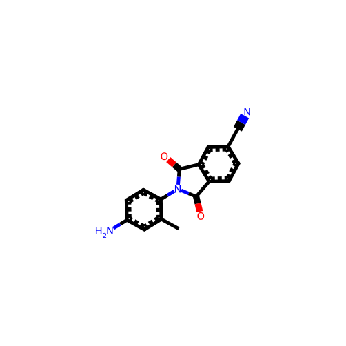 Cc1cc(N)ccc1N1C(=O)c2ccc(C#N)cc2C1=O